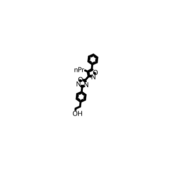 CCCc1c(-c2nc(-c3ccc(CCO)cc3)no2)noc1-c1ccccc1